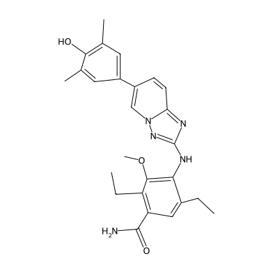 CCc1cc(C(N)=O)c(CC)c(OC)c1Nc1nc2ccc(-c3cc(C)c(O)c(C)c3)cn2n1